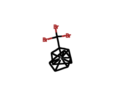 BrC(Br)(Br)[C]12[CH]3[CH]4[CH]5[CH]1[Fe]45321678[CH]2[CH]1[CH]6[CH]7[CH]28